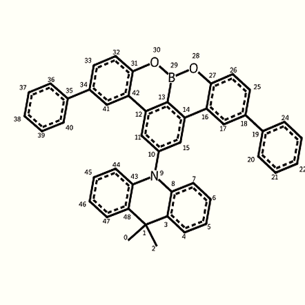 CC1(C)c2ccccc2N(c2cc3c4c(c2)-c2cc(-c5ccccc5)ccc2OB4Oc2ccc(-c4ccccc4)cc2-3)c2ccccc21